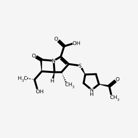 CC(=O)[C@@H]1C[C@H](SC2=C(C(=O)O)N3C(=O)[C@H]([C@@H](C)O)[C@H]3[C@H]2C)CN1